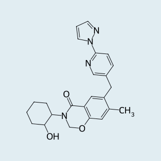 Cc1cc2c(cc1Cc1ccc(-n3cccn3)nc1)C(=O)N(C1CCCCC1O)CO2